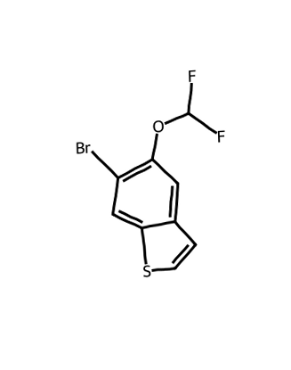 FC(F)Oc1cc2ccsc2cc1Br